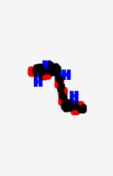 CC(C)(C)OC(=O)Nc1cccc(OCCOCCOCCNc2ccc3cnn(C4CCC(=O)NC4=O)c(=O)c3c2)c1